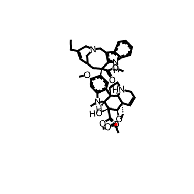 CCC1=CC2CN(C1)Cc1c([nH]c3ccccc13)[C@@](C(=O)OC)(c1cc3c(cc1OC)N(C)[C@H]1[C@@](O)(C(=O)OC)[C@H](OC(C)=O)[C@]4(CC)C=CCN5CC[C@]31[C@@H]54)C2